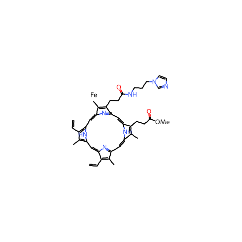 C=CC1=C(C)c2cc3[nH]c(cc4nc(cc5[nH]c(cc1n2)c(C)c5C=C)C(C)=C4CCC(=O)NCCCn1ccnc1)c(CCC(=O)OC)c3C.[Fe]